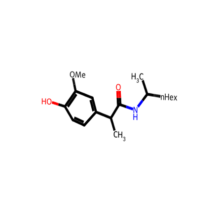 CCCCCCC(C)NC(=O)C(C)c1ccc(O)c(OC)c1